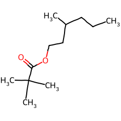 CCCC(C)CCOC(=O)C(C)(C)C